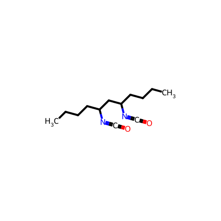 CCCCC(CC(CCCC)N=C=O)N=C=O